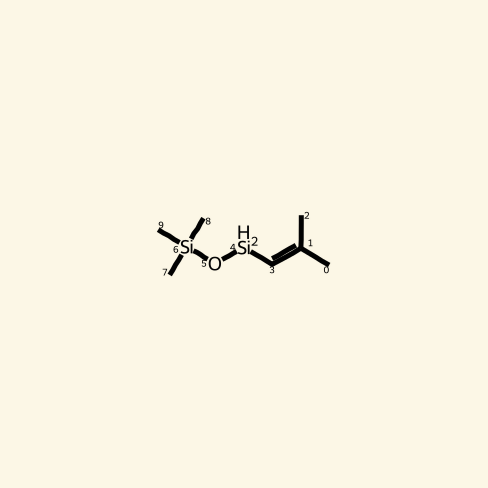 CC(C)=C[SiH2]O[Si](C)(C)C